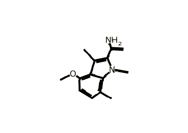 C=C(N)c1c(C)c2c(OC)ccc(C)c2n1C